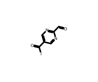 O=Cc1ncc(C(=O)I)cn1